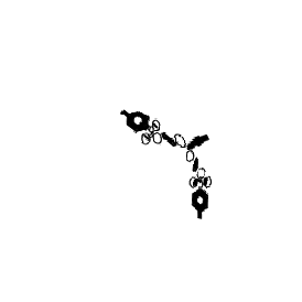 CC#CC(OCCOS(=O)(=O)c1ccc(C)cc1)OCCOS(=O)(=O)c1ccc(C)cc1